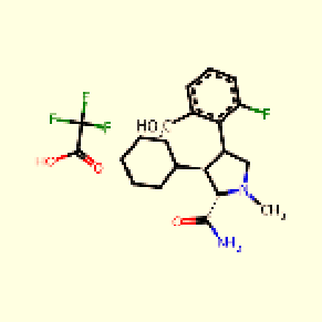 CN1CC(c2c(F)cccc2C(=O)O)[C@H](C2CCCCC2)[C@H]1C(N)=O.O=C(O)C(F)(F)F